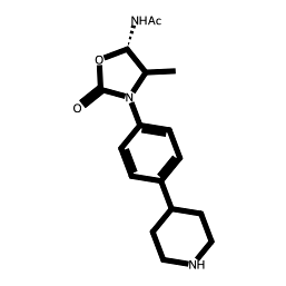 CC(=O)N[C@H]1OC(=O)N(c2ccc(C3CCNCC3)cc2)C1C